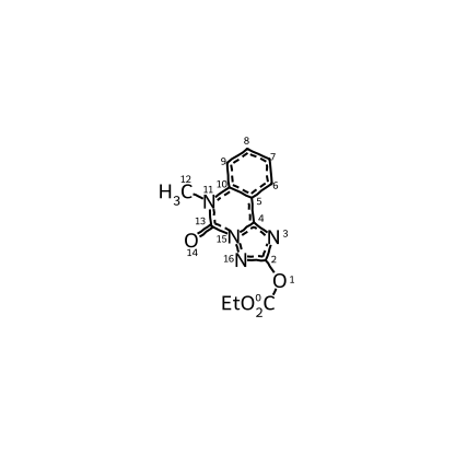 CCOC(=O)Oc1nc2c3ccccc3n(C)c(=O)n2n1